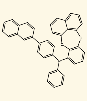 c1ccc(N(c2ccc(-c3ccc4ccccc4c3)cc2)c2cccc3c2Oc2cccc4cccc(c24)O3)cc1